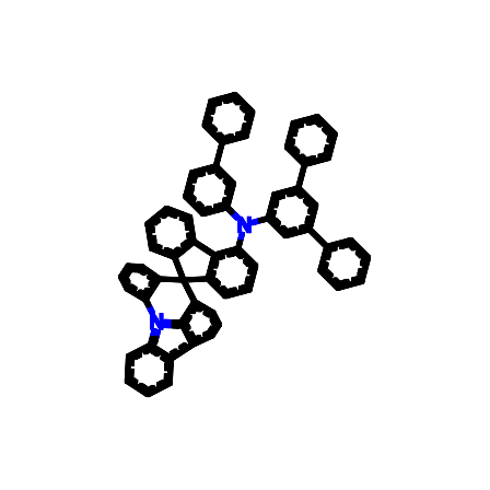 c1ccc(-c2cccc(N(c3cc(-c4ccccc4)cc(-c4ccccc4)c3)c3cccc4c3-c3ccccc3C43c4ccccc4-n4c5ccccc5c5cccc3c54)c2)cc1